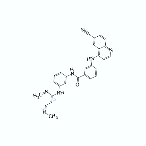 C=N/C(=C\C=N/C)Nc1cccc(NC(=O)c2cccc(Nc3ccnc4ccc(C#N)cc34)c2)c1